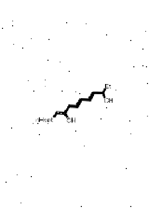 CCCCCCCCC(O)CC=CC=CC(O)CC